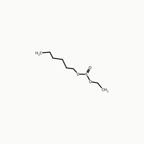 CCCCCCOS(=O)OCC